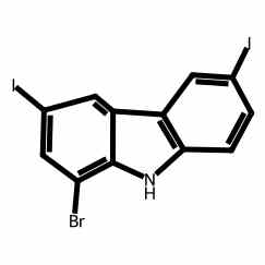 Brc1cc(I)cc2c1[nH]c1ccc(I)cc12